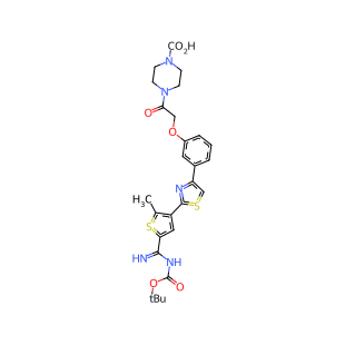 Cc1sc(C(=N)NC(=O)OC(C)(C)C)cc1-c1nc(-c2cccc(OCC(=O)N3CCN(C(=O)O)CC3)c2)cs1